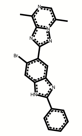 Cc1ncc(C)n2nc(-c3cc4nc(-c5ccccc5)[nH]c4cc3Br)nc12